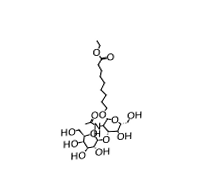 CCOC(=O)CCCCCCCCO[C@@H]1O[C@H](CO)[C@@H](O)[C@H](O[C@@H]2O[C@H](CO)[C@H](O)[C@H](O)[C@H]2O)[C@H]1NC(C)=O